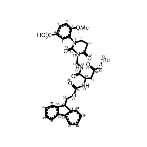 COc1ccc(C(=O)O)cc1N1CCC(=O)N(CNC(=O)C(CC(=O)OC(C)(C)C)NC(=O)OCC2c3ccccc3-c3ccccc32)C1=O